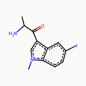 CC(N)C(=O)c1cn(C)c2ccc(I)cc12